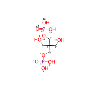 O=P(O)(O)OCC(CO)(CO)COP(=O)(O)O